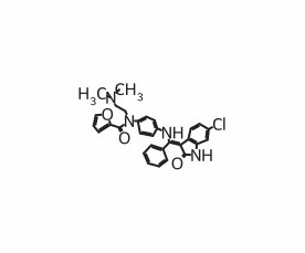 CN(C)CCN(C(=O)c1ccco1)c1ccc(NC(=C2C(=O)Nc3cc(Cl)ccc32)c2ccccc2)cc1